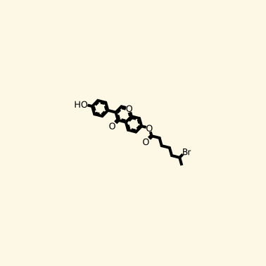 CC(Br)CCCCC(=O)Oc1ccc2c(=O)c(-c3ccc(O)cc3)coc2c1